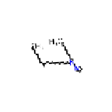 CCCCCCCCCCN(CCCCCCCCCCC1CC1CCCCCCCC)CCN1CCCC1